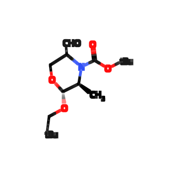 C[C@H]1[C@H](OCC(C)(C)C)OCC(C=O)N1C(=O)OC(C)(C)C